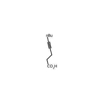 CCCCC#CCCC(=O)O